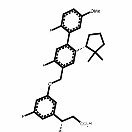 CC[C@@H](CC(=O)O)c1cc(F)cc(OCc2cc([C@@H]3CCCC3(C)C)c(-c3cc(OC)ccc3F)cc2F)c1